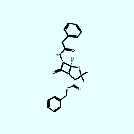 CC1(C)S[C@@H]2[C@H](NC(=O)Cc3ccccc3)C(=O)N2[C@H]1C(=O)OCc1ccccc1